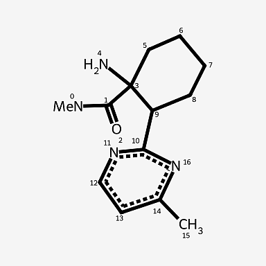 CNC(=O)C1(N)CCCCC1c1nccc(C)n1